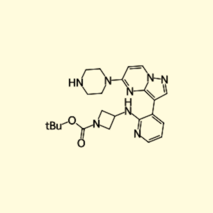 CC(C)(C)OC(=O)N1CC(Nc2ncccc2-c2cnn3ccc(N4CCNCC4)nc23)C1